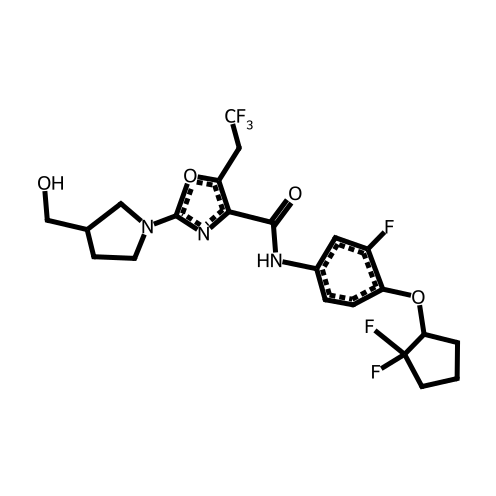 O=C(Nc1ccc(OC2CCCC2(F)F)c(F)c1)c1nc(N2CCC(CO)C2)oc1CC(F)(F)F